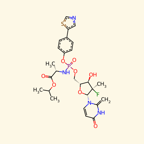 C=C1NC(=O)C=CN1[C@@H]1O[C@H](COP(=O)(N[C@@H](C)C(=O)OC(C)C)Oc2ccc(-c3cncs3)cc2)[C@@H](O)[C@@]1(C)F